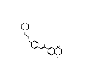 C/C(=C\c1ccc(OCCN2CCOCC2)cc1)c1ccc2c(c1)C(C)(C)CCN2C